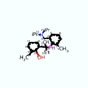 CCC(C)(Pc1c(C)cccc1CN(C(C)C)C(C)C)c1cccc(C)c1O